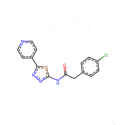 O=C(Cc1ccc(Cl)cc1)Nc1nnc(-c2ccncc2)s1